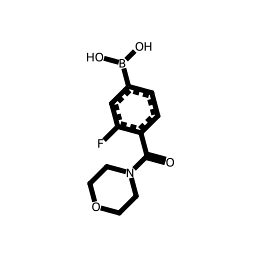 O=C(c1ccc(B(O)O)cc1F)N1CCOCC1